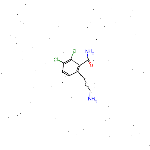 NCC[CH]c1ccc(Cl)c(Cl)c1C(N)=O